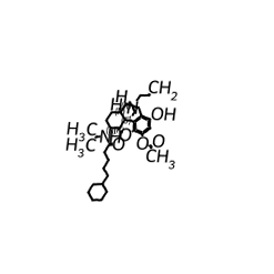 C=CCN1CC[C@]23c4c5c(O)cc(OC(C)=O)c4O[C@H]2[C@H](N(C(=O)CCCCC2CCCCC2)C(C)C)CC[C@H]3[C@H]1C5